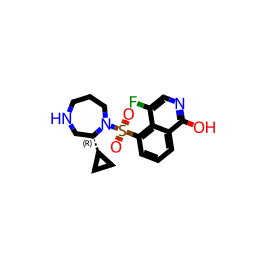 O=S(=O)(c1cccc2c(O)ncc(F)c12)N1CCCNC[C@H]1C1CC1